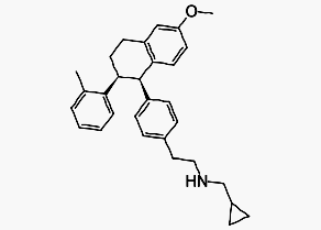 COc1ccc2c(c1)CC[C@H](c1ccccc1C)[C@@H]2c1ccc(CCNCC2CC2)cc1